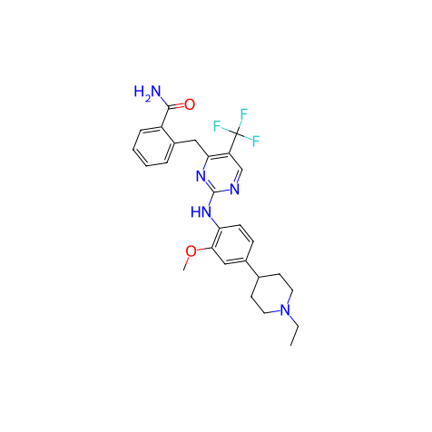 CCN1CCC(c2ccc(Nc3ncc(C(F)(F)F)c(Cc4ccccc4C(N)=O)n3)c(OC)c2)CC1